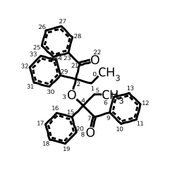 CCC(OC(CC)(C(=O)c1ccccc1)c1ccccc1)(C(=O)c1ccccc1)c1ccccc1